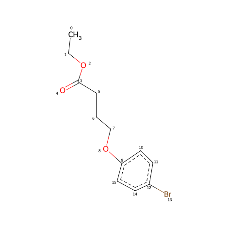 CCOC(=O)CCCOc1ccc(Br)cc1